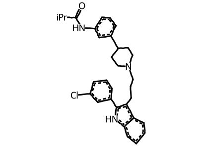 CC(C)C(=O)Nc1cccc(C2CCN(CCCc3c(-c4cccc(Cl)c4)[nH]c4ccccc34)CC2)c1